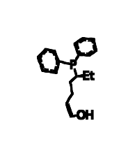 CC[C@@H](CC/C=C\O)P(c1ccccc1)c1ccccc1